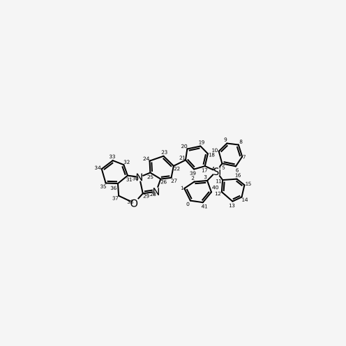 c1ccc([Si](c2ccccc2)(c2ccccc2)c2cccc(-c3ccc4c(c3)nc3n4-c4ccccc4CO3)c2)cc1